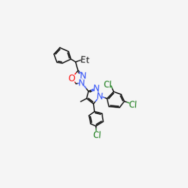 CCC(C1=NN(c2nn(-c3ccc(Cl)cc3Cl)c(-c3ccc(Cl)cc3)c2C)CO1)c1ccccc1